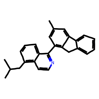 Cc1cc2c(c(-c3nccc4c(CC(C)C)cccc34)c1)Cc1ccccc1-2